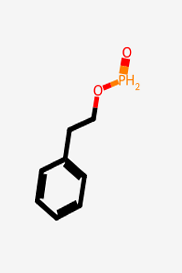 O=[PH2]OCCc1ccccc1